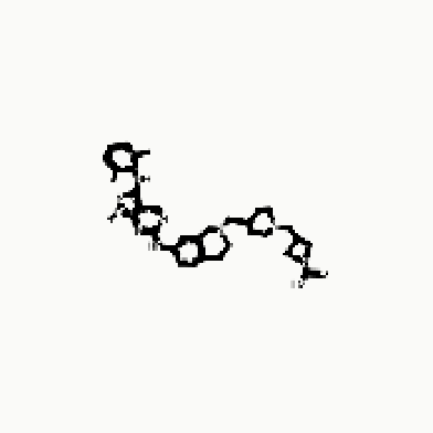 Cc1cccc(C)c1Nc1nn(C)c2nc(Nc3ccc4c(c3)CN(CC3CCN(CC5CN(C(=O)O)C5)CC3)CC4)ncc12